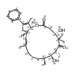 CC1=C(c2ccccc2)C[C@H]2/C=C(/C)CCC[C@H](C)[C@H](O)[C@@H](C)C(=O)C(C)(C)[C@@H](O)CC(=O)O[C@H]12